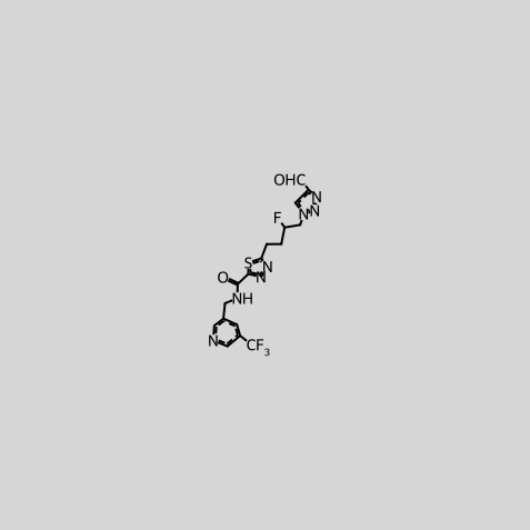 O=Cc1cn(CC(F)CCc2nnc(C(=O)NCc3cncc(C(F)(F)F)c3)s2)nn1